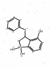 Oc1cccc2c1C(Sc1ccccc1)CS2(O)O